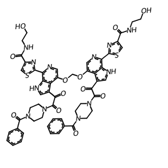 O=C(NCCO)c1csc(-c2ncc(OCOc3cnc(-c4nc(C(=O)NCCO)cs4)c4[nH]cc(C(=O)C(=O)N5CCN(C(=O)c6ccccc6)CC5)c34)c3c(C(=O)C(=O)N4CCN(C(=O)c5ccccc5)CC4)c[nH]c23)n1